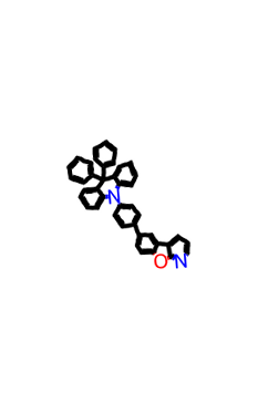 c1ccc(C2(c3ccccc3)c3ccccc3N(c3ccc(-c4ccc5oc6ncccc6c5c4)cc3)c3ccccc32)cc1